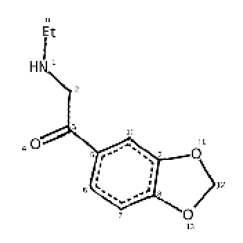 CCNCC(=O)c1ccc2c(c1)OCO2